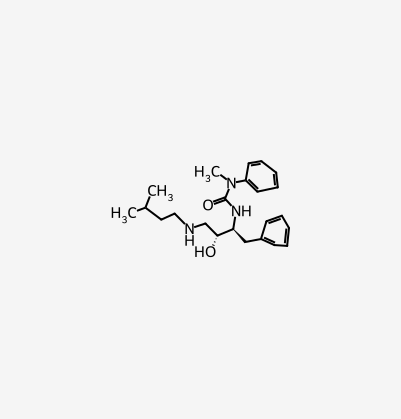 CC(C)CCNC[C@@H](O)[C@H](Cc1ccccc1)NC(=O)N(C)c1ccccc1